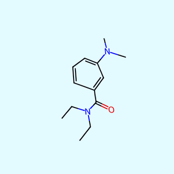 CCN(CC)C(=O)c1cccc(N(C)C)c1